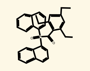 CCc1cc(CC)c(C(=O)P(=O)(c2cccc3ccccc23)c2cccc3ccccc23)c(CC)c1